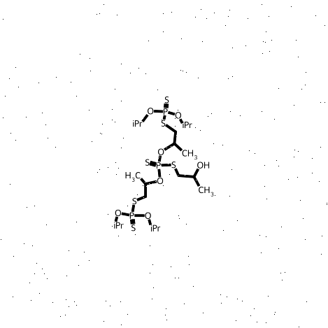 CC(O)CSP(=S)(OC(C)CSP(=S)(OC(C)C)OC(C)C)OC(C)CSP(=S)(OC(C)C)OC(C)C